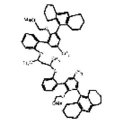 COCOc1c(-c2ccccc2O[C@H](C)C[C@@H](C)Oc2ccccc2-c2cc(C)cc(-c3c4c(cc5c3CCCC5)CCCC4)c2OCOC)cc(C)cc1-c1c2c(cc3c1CCCC3)CCCC2